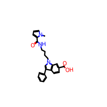 Cn1cccc1C(=O)NCCCCn1cc(-c2ccccc2)c2ccc(C(=O)O)cc21